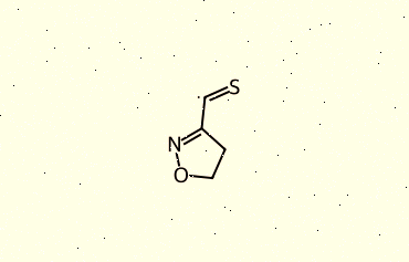 S=[C]C1=NOCC1